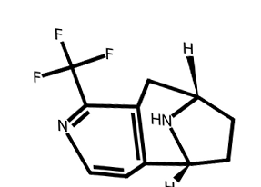 FC(F)(F)c1nccc2c1C[C@@H]1CC[C@H]2N1